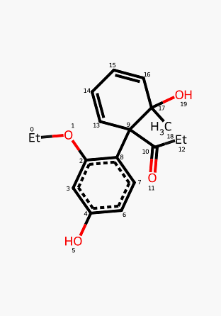 CCOc1cc(O)ccc1C1(C(=O)CC)C=CC=CC1(C)O